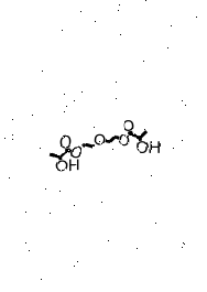 CC(O)C(=O)OCCOCCOC(=O)C(C)O